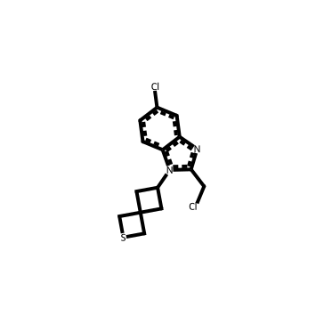 ClCc1nc2cc(Cl)ccc2n1C1CC2(CSC2)C1